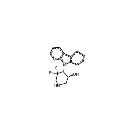 O[C@H]1CNCC(F)(F)[C@@H]1n1c2ccccc2c2ccccc21